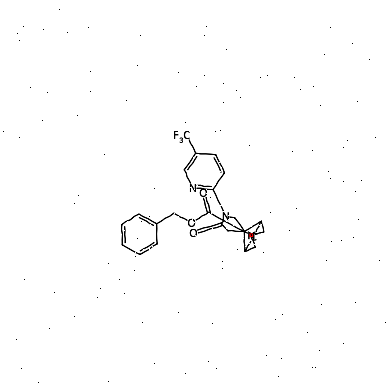 O=C(OCc1ccccc1)N1CC2CC(C1)C21CC(=O)N(c2ccc(C(F)(F)F)cn2)C1